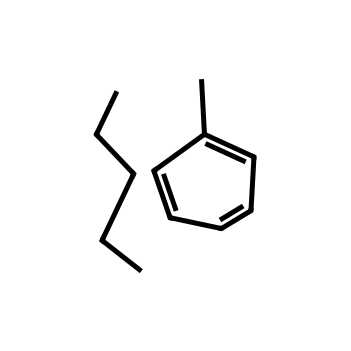 CCCCC.Cc1ccccc1